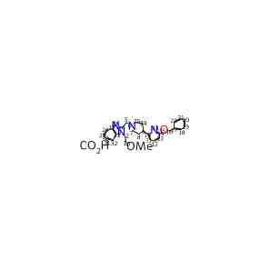 COCCn1c(CN2CCC(c3cccc(OCc4ccccc4)n3)CC2)nc2ccc(C(=O)O)cc21